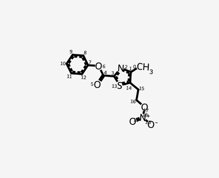 Cc1nc(C(=O)Oc2ccccc2)sc1CCO[N+](=O)[O-]